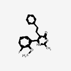 COc1c(F)cccc1-c1[nH]c(C)nc(=O)c1CCc1ccccc1